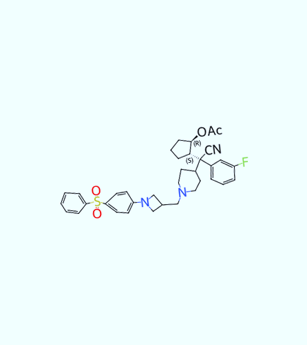 CC(=O)O[C@@H]1CCC[C@H]1C(C#N)(c1cccc(F)c1)C1CCN(CC2CN(c3ccc(S(=O)(=O)c4ccccc4)cc3)C2)CC1